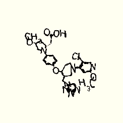 COc1cc(N2CCC(Oc3ccc(N4C[C@H](OC)C[C@@H]4CC(=O)O)cc3)C(Cn3cnnn3)C2)c(Cl)cn1